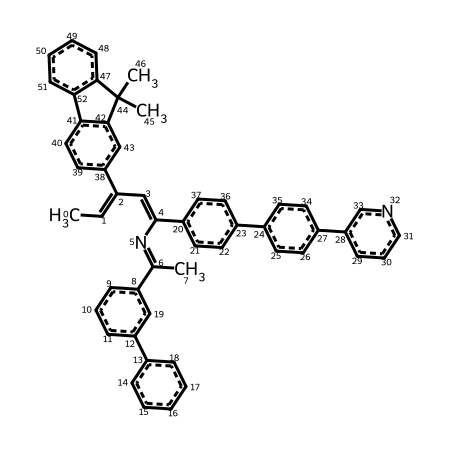 C/C=C(/C=C(\N=C(/C)c1cccc(-c2ccccc2)c1)c1ccc(-c2ccc(-c3cccnc3)cc2)cc1)c1ccc2c(c1)C(C)(C)c1ccccc1-2